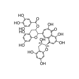 O=C(OC1Cc2c(O)cc(O)cc2OC1c1cc(O)c(=O)c2c(O)c(O)cc([C@H]3Oc4cc(O)cc(O)c4C[C@H]3O)c2c1)c1cc(O)c(O)c(O)c1